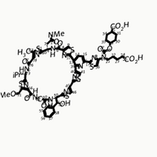 CNC(=O)C[C@@H]1NC(=O)c2csc(n2)-c2ccc(-c3nc(N(CCCCC(=O)O)C(=O)OC4CCC(C(=O)O)CC4)cs3)nc2-c2csc(n2)-c2csc(n2)[C@H]([C@@H](O)c2ccccc2)NC(=O)CNC(=O)c2nc(sc2COC)[C@H](C(C)C)NC(=O)c2nc1sc2C